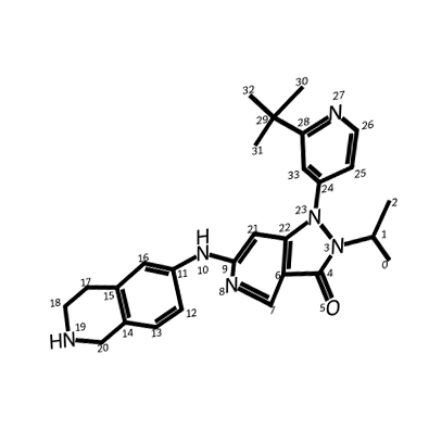 CC(C)n1c(=O)c2cnc(Nc3ccc4c(c3)CCNC4)cc2n1-c1ccnc(C(C)(C)C)c1